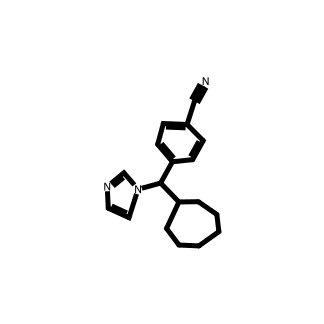 N#Cc1ccc(C(C2CCCCCC2)n2ccnc2)cc1